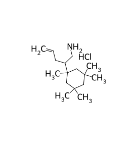 C=CCC(CN)C1(C)CC(C)(C)CC(C)(C)C1.Cl